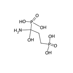 NC(O)(CCP(=O)(O)O)P(=O)(O)O